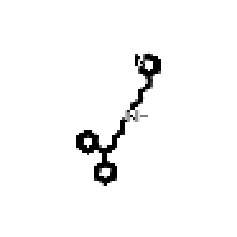 C(CCCNCCCCc1cccnc1)=C(c1ccccc1)c1ccccc1